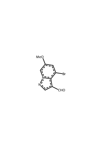 COc1cc(Br)c2c(C=O)cnn2c1